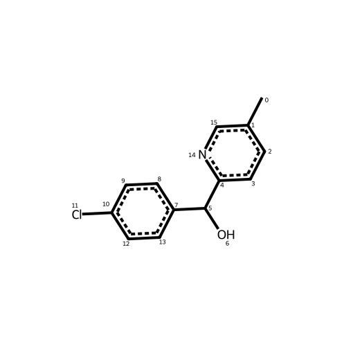 Cc1ccc(C(O)c2ccc(Cl)cc2)nc1